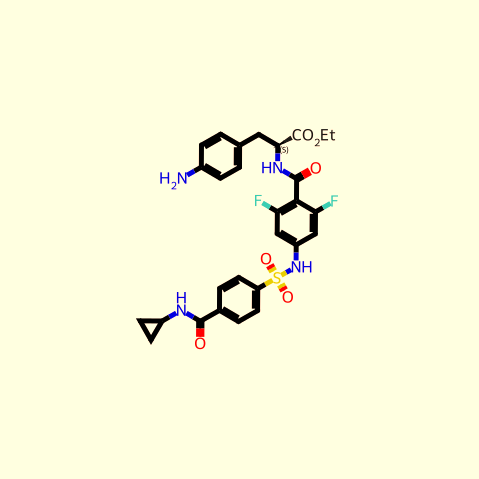 CCOC(=O)[C@H](Cc1ccc(N)cc1)NC(=O)c1c(F)cc(NS(=O)(=O)c2ccc(C(=O)NC3CC3)cc2)cc1F